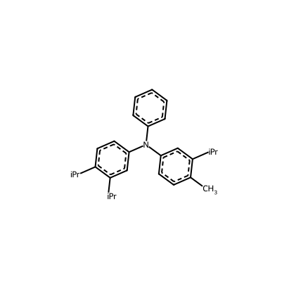 Cc1ccc(N(c2ccccc2)c2ccc(C(C)C)c(C(C)C)c2)cc1C(C)C